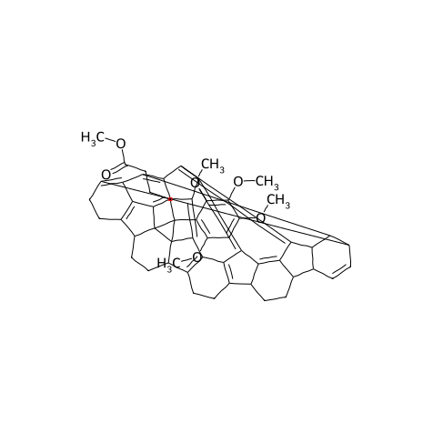 COC(=O)CCCC1(c2c(OC)cc(OC)c(OC)c2OC)C23c4c5c6c7c8c4=C4CCC=8C8C=CC9C%10CCC%11C%12=c%13c%14c(c-5c5c-6c(c%10c%11c%135)C9C78)C12C(CCC43)C=%14CC%12